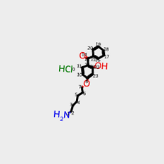 Cl.NCCCCCCOc1ccc(C(=O)c2ccccc2)c(O)c1